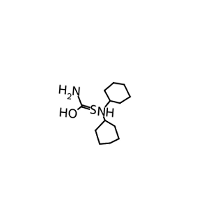 C1CCC(NC2CCCCC2)CC1.NC(O)=S